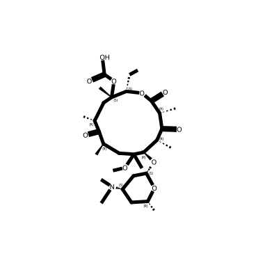 CC[C@@H]1OC(=O)[C@H](C)C(=O)[C@H](C)[C@@H](O[C@H]2C[C@@H](N(C)C)C[C@@H](C)O2)C(C)(OC)C[C@@H](C)C(=O)[C@H](C)C[C@]1(C)OC(=O)O